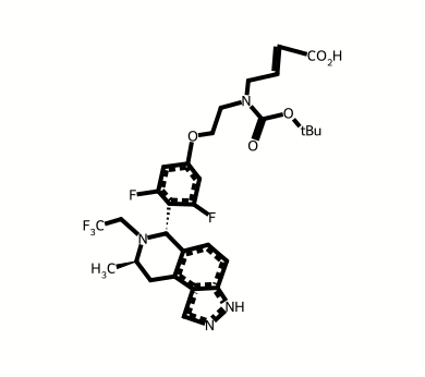 C[C@@H]1Cc2c(ccc3[nH]ncc23)[C@@H](c2c(F)cc(OCCN(C/C=C/C(=O)O)C(=O)OC(C)(C)C)cc2F)N1CC(F)(F)F